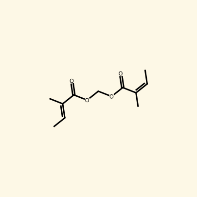 CC=C(C)C(=O)OCOC(=O)C(C)=CC